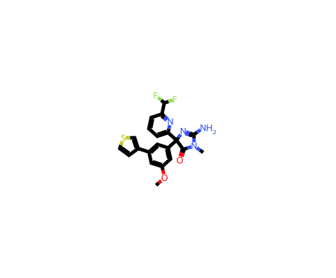 COc1cc(-c2ccsc2)cc(C2(c3cccc(C(F)F)n3)N=C(N)N(C)C2=O)c1